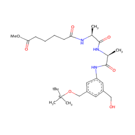 COC(=O)CCCCC(=O)N[C@@H](C)C(=O)N[C@@H](C)C(=O)Nc1cc(CO)cc(CO[Si](C)(C)C(C)(C)C)c1